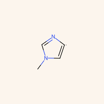 Cn1c[c]nc1